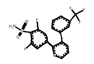 NS(=O)(=O)c1c(F)cc(-c2ncccc2-c2cccc(C(F)(F)F)c2)cc1F